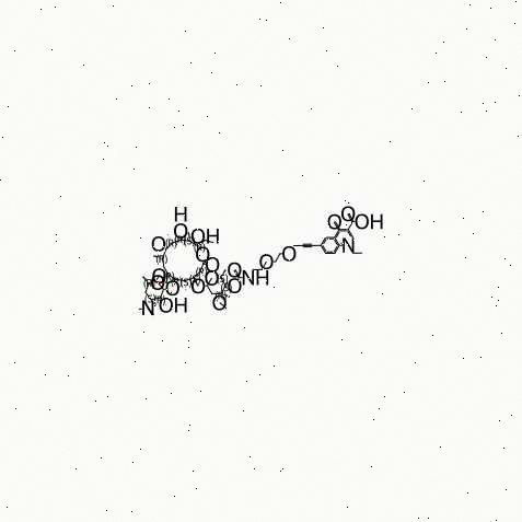 CC[C@H]1OC(=O)[C@H](C)[C@@H](OC2C[C@@](C)(OC)[C@@H](OC(=O)NCCOCCOCC#Cc3ccc4c(c3)c(=O)c(C(=O)O)cn4CC)[C@H](C)O2)[C@H](C)[C@@H](OC2O[C@H](C)C[C@H](N(C)C)[C@H]2O)[C@](C)(OC)C[C@@H](C)C(=O)[C@H](C)[C@@H](O)[C@]1(C)O